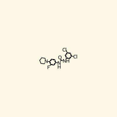 O=C(Nc1cc(Cl)cc(Cl)c1)Nc1ccc(N2CCCCC2)c(F)c1